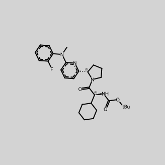 CN(c1cccc([C@@H]2CCCN2C(=O)[C@@H](NC(=O)OC(C)(C)C)C2CCCCC2)n1)c1ccccc1F